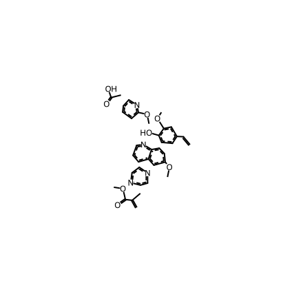 C=C(C)C(=O)OC.C=Cc1ccc(O)c(OC)c1.CC(=O)O.COc1ccc2ncccc2c1.COc1ccccn1.c1cnccn1